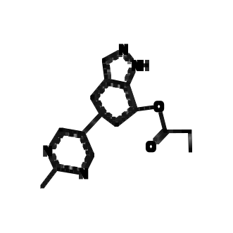 CCC(=O)Oc1cc(-c2cnc(C)nc2)cc2cn[nH]c12